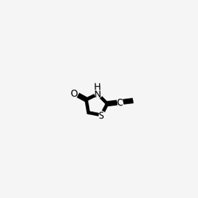 C=C=C1NC(=O)CS1